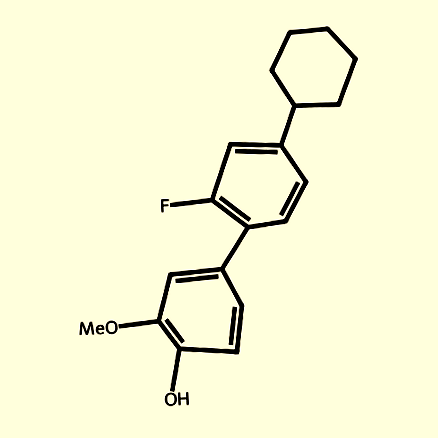 COc1cc(-c2ccc(C3CCCCC3)cc2F)ccc1O